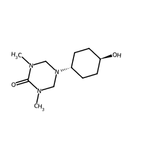 CN1CN([C@H]2CC[C@H](O)CC2)CN(C)C1=O